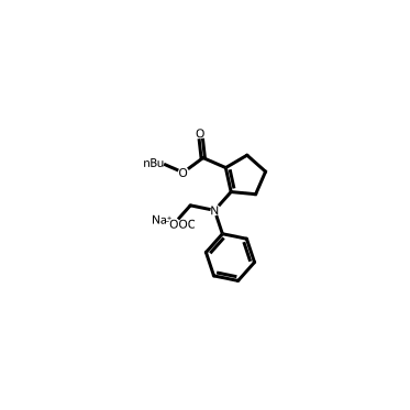 CCCCOC(=O)C1=C(N(CC(=O)[O-])c2ccccc2)CCC1.[Na+]